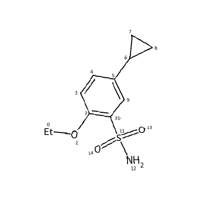 CCOc1ccc(C2CC2)cc1S(N)(=O)=O